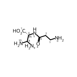 NCCC(=O)N[C@@H](C(=O)O)C(N)N